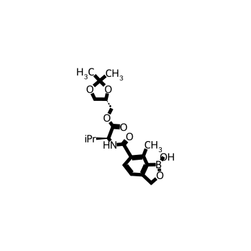 Cc1c(C(=O)N[C@H](C(=O)OC[C@@H]2COC(C)(C)O2)C(C)C)ccc2c1B(O)OC2